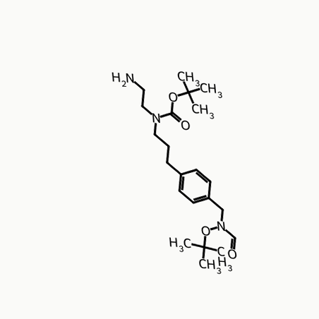 CC(C)(C)OC(=O)N(CCN)CCCc1ccc(CN(C=O)OC(C)(C)C)cc1